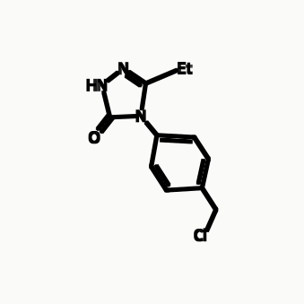 CCc1n[nH]c(=O)n1-c1ccc(CCl)cc1